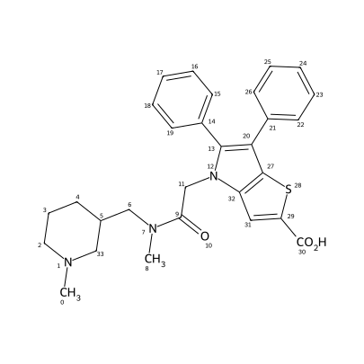 CN1CCCC(CN(C)C(=O)Cn2c(-c3ccccc3)c(-c3ccccc3)c3sc(C(=O)O)cc32)C1